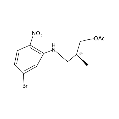 CC(=O)OC[C@@H](C)CNc1cc(Br)ccc1[N+](=O)[O-]